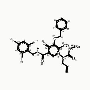 C=CCN(C(=O)OC(C)(C)C)n1cc(C(=O)NCc2c(F)cc(F)cc2F)c(=O)c(OCc2ccccc2)c1C(=O)O